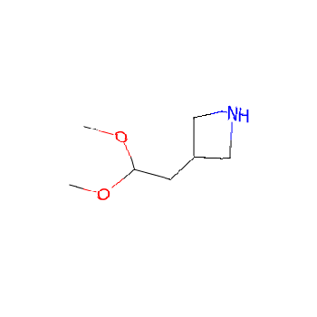 COC(CC1CNC1)OC